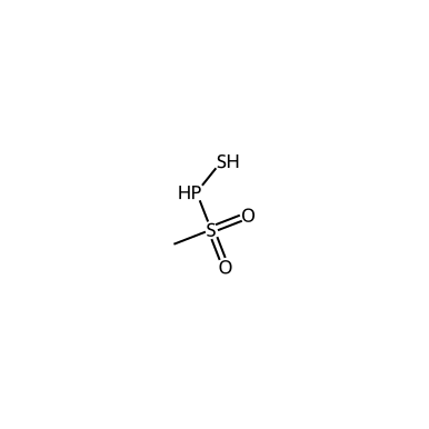 CS(=O)(=O)PS